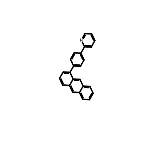 c1ccc(-c2ccc(-c3cccc4cc5ccccc5cc34)cc2)nc1